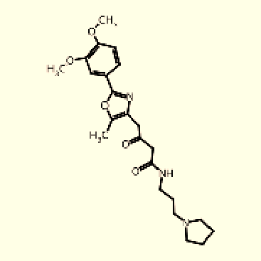 COc1ccc(-c2nc(CC(=O)CC(=O)NCCCN3CCCC3)c(C)o2)cc1OC